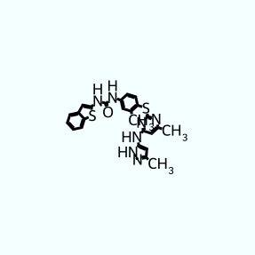 Cc1cc(Nc2cc(C)nc(Sc3ccc(NC(=O)Nc4cc5ccccc5s4)cc3C)n2)[nH]n1